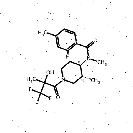 Cc1ccc(C(=O)N(C)[C@H]2CCN(C(=O)C(C)(O)C(F)(F)F)C[C@H]2C)c(F)c1